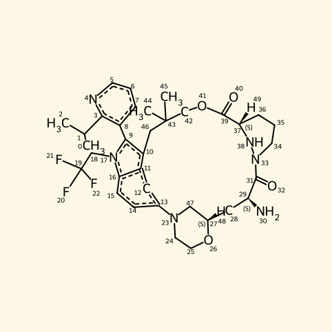 CC(C)c1ncccc1-c1c2c3cc(ccc3n1CC(F)(F)F)N1CCO[C@@H](C[C@H](N)C(=O)N3CCC[C@H](N3)C(=O)OCC(C)(C)C2)C1